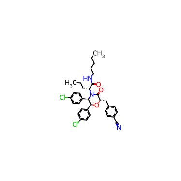 CCCCCNC(=O)[C@@H](CCC)N1C(=O)[C@H](Cc2ccc(C#N)cc2)O[C@@H](c2ccc(Cl)cc2)[C@H]1c1ccc(Cl)cc1